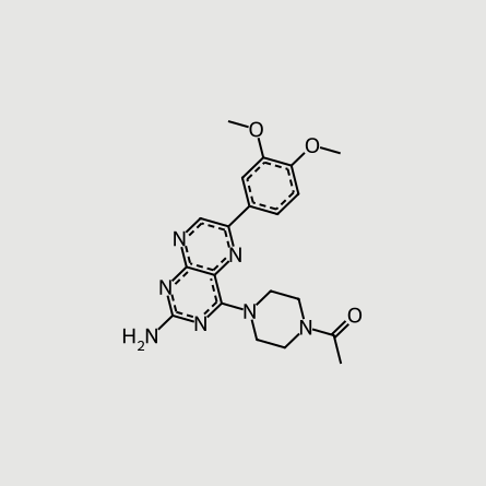 COc1ccc(-c2cnc3nc(N)nc(N4CCN(C(C)=O)CC4)c3n2)cc1OC